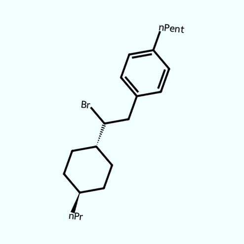 CCCCCc1ccc(CC(Br)[C@H]2CC[C@H](CCC)CC2)cc1